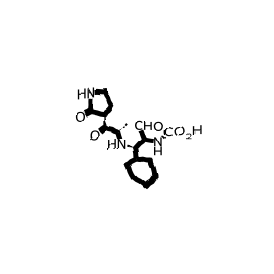 C[C@H](N[C@@H](C1CCCCC1)C(C=O)NC(=O)O)C(=O)[C@@H]1CCNC1=O